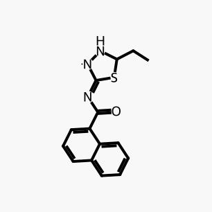 CCC1N[N]C(=NC(=O)c2cccc3ccccc23)S1